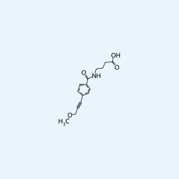 COCC#Cc1ccc(C(=O)NCCCC(=O)O)cc1